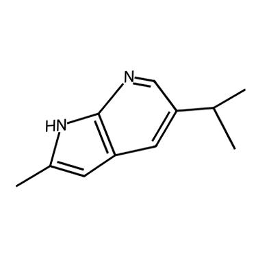 Cc1cc2cc(C(C)C)cnc2[nH]1